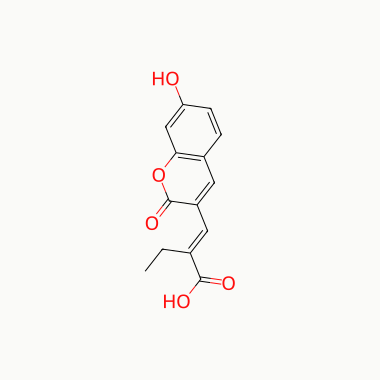 CCC(=Cc1cc2ccc(O)cc2oc1=O)C(=O)O